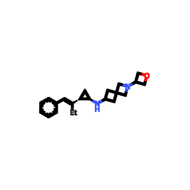 CC/C(=C\c1ccccc1)[C@@H]1C[C@H]1NC1CC2(C1)CN(C1COC1)C2